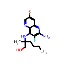 CCCCC(C)(CO)Nc1c(F)c(N)nc2cc(Br)cnc12